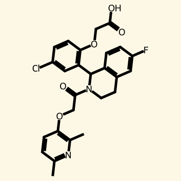 Cc1ccc(OCC(=O)N2CCc3cc(F)ccc3C2c2cc(Cl)ccc2OCC(=O)O)c(C)n1